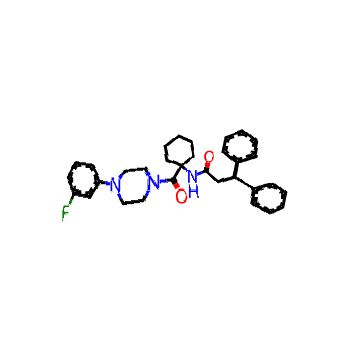 O=C(CC(c1ccccc1)c1ccccc1)NC1(C(=O)N2CCN(c3cccc(F)c3)CC2)CCCCC1